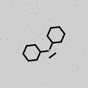 C1CCC([P]C2CCCCC2)CC1.CC